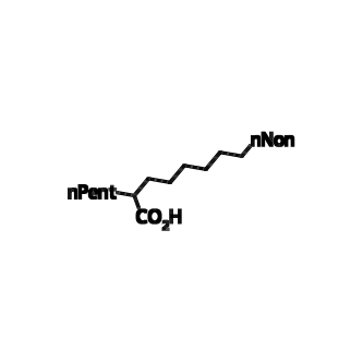 CCCCCCCCCCCCCCCC(CCCCC)C(=O)O